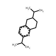 CC(C)c1ccc2c(n1)CCC(C(C)C)C2